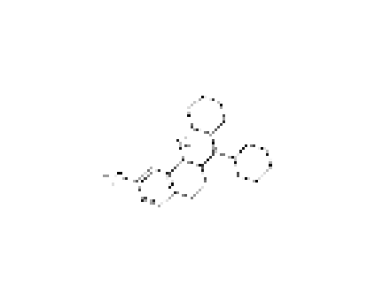 [C-]#[N+]C1c2cc(C)ccc2CCC1P(C1CCCCC1)C1CCCCC1